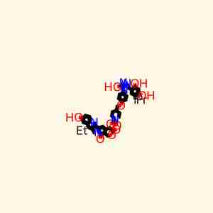 CCc1c2c(nc3ccc(O)cc13)-c1cc3c(c(=O)n1C2)COC(=O)[C@H]3OC(=O)N1CCC(COc2ccc(-n3c(O)nnc3-c3cc(C(C)C)c(O)cc3O)cc2)CC1